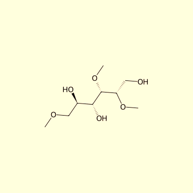 COC[C@@H](O)[C@@H](O)[C@H](OC)[C@H](CO)OC